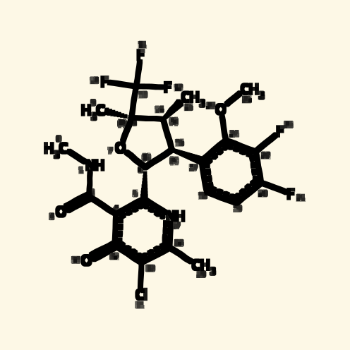 CNC(=O)c1c([C@@H]2O[C@@](C)(C(F)(F)F)[C@@H](C)[C@H]2c2ccc(F)c(F)c2OC)[nH]c(C)c(Cl)c1=O